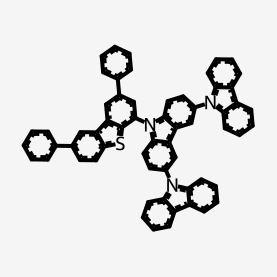 c1ccc(-c2ccc3sc4c(-n5c6ccc(-n7c8ccccc8c8ccccc87)cc6c6cc(-n7c8ccccc8c8ccccc87)ccc65)cc(-c5ccccc5)cc4c3c2)cc1